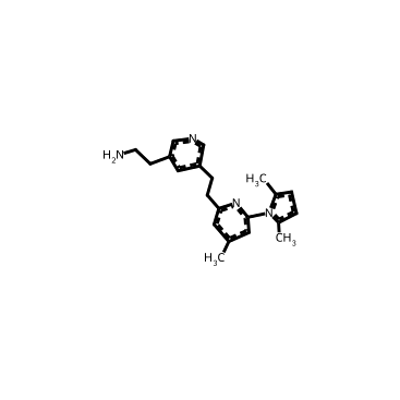 Cc1cc(CCc2cncc(CCN)c2)nc(-n2c(C)ccc2C)c1